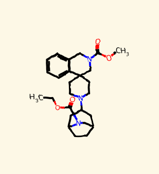 CCOC(=O)N1CC2CCC1CC(N1CCC3(CC1)CN(C(=O)OC)Cc1ccccc13)C2